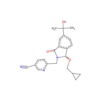 CC(C)(O)c1ccc2c(c1)C(=O)N(Cc1ccc(C#N)cn1)[C@@H]2OCC1CC1